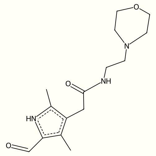 Cc1[nH]c(C=O)c(C)c1CC(=O)NCCN1CCOCC1